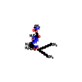 CCCCCCCCCCC(CCCCCCCC)COC(=O)NC1CC(C)(C)CC(C)(CNC(=O)Nc2nc(=O)c(CCOC(=O)NCC)c(C)[nH]2)C1